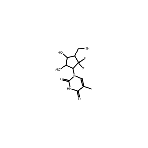 O=c1[nH]c(=O)n(C2C(O)C(O)C(CO)C2(F)F)cc1I